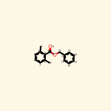 Cc1cccc(C)c1C(=O)OCc1ccccc1